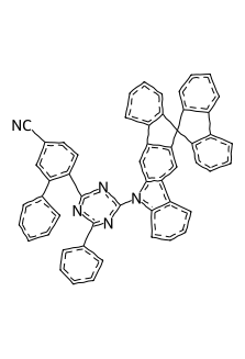 N#Cc1ccc(-c2nc(-c3ccccc3)nc(-n3c4ccccc4c4cc5c(cc43)-c3ccccc3C53c4ccccc4-c4ccccc43)n2)c(-c2ccccc2)c1